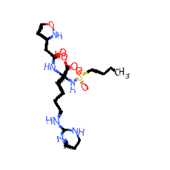 CCCCS(=O)(=O)NC(CCCCNC1N=CCCN1)(NC(=O)CC1CCON1)C(=O)O